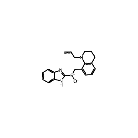 C=CCN1CCCc2cccc(C[S+]([O-])c3nc4ccccc4[nH]3)c21